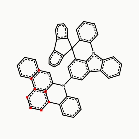 c1ccc(-c2cccc(-c3ccccc3N(c3cc4c5c(c3)c3ccccc3n5-c3ccccc3C43c4ccccc4-c4ccccc43)c3cccc4ccccc34)c2)cc1